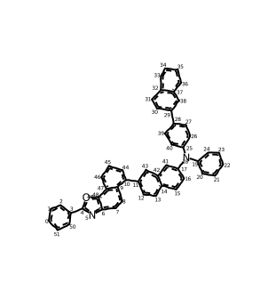 c1ccc(-c2nc3ccc4c(-c5ccc6ccc(N(c7ccccc7)c7ccc(-c8ccc9ccccc9c8)cc7)cc6c5)cccc4c3o2)cc1